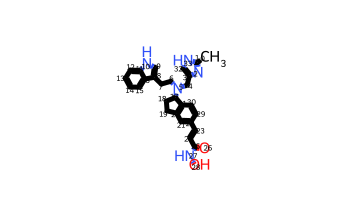 Cc1nc(CN(CCc2c[nH]c3ccccc23)C2CCc3cc(C=CC(=O)NO)ccc32)c[nH]1